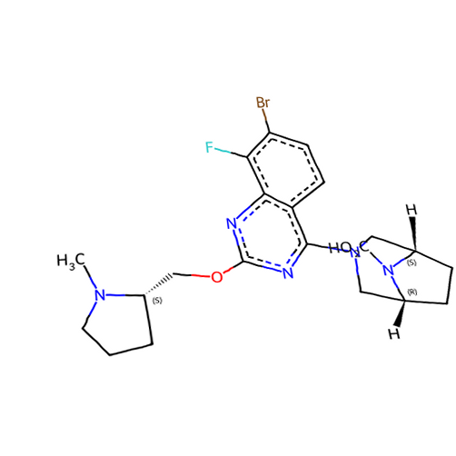 CN1CCC[C@H]1COc1nc(N2C[C@H]3CC[C@@H](C2)N3C(=O)O)c2ccc(Br)c(F)c2n1